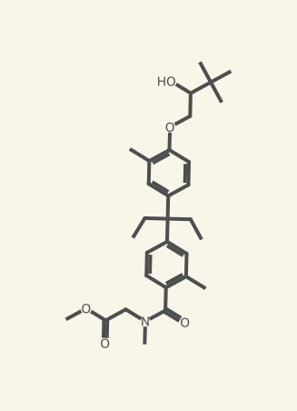 CCC(CC)(c1ccc(OCC(O)C(C)(C)C)c(C)c1)c1ccc(C(=O)N(C)CC(=O)OC)c(C)c1